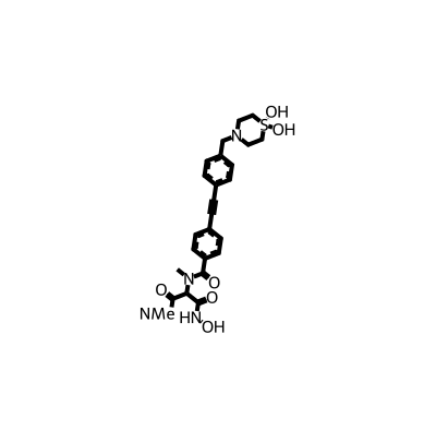 CNC(=O)C(C(=O)NO)N(C)C(=O)c1ccc(C#Cc2ccc(CN3CCS(O)(O)CC3)cc2)cc1